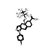 CC(C)(C)[Si](C)(C)OC[C@]12Cc3cnn(-c4ccc(F)cc4)c3C=C1CCC(C(=O)O)C2